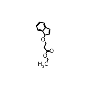 CCOC(=O)CCOC1C=Cc2ccccc21